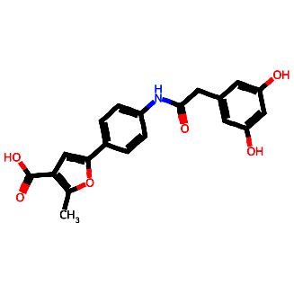 Cc1oc(-c2ccc(NC(=O)Cc3cc(O)cc(O)c3)cc2)cc1C(=O)O